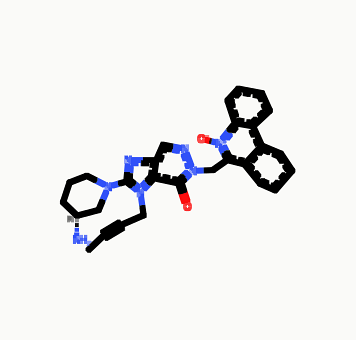 CC#CCn1c(N2CCC[C@@H](N)C2)nc2cnn(Cc3c4ccccc4c4ccccc4[n+]3[O-])c(=O)c21